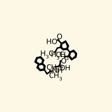 CC(C)Cc1cc(-c2ccccc2C(C)OC[C@@H](O)CNC(C)(C)Cc2ccc3ccccc3c2)ccc1C(=O)O